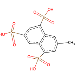 Cc1cc(S(=O)(=O)O)c2cc(S(=O)(=O)O)cc(S(=O)(=O)O)c2c1